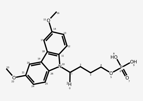 [2H]C(CCCOP(=O)(O)O)n1c2ccc(OC)cc2c2cc(OC)ccc21